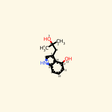 CC(C)(O)Cc1c[nH]c2cccc(O)c12